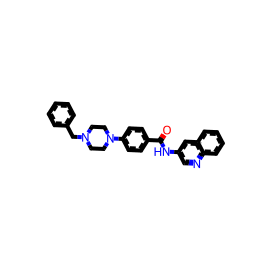 O=C(Nc1cnc2ccccc2c1)c1ccc(N2CCN(Cc3ccccc3)CC2)cc1